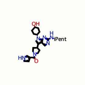 CCC[C@H](C)Nc1ncc2c(C3CCN(C(=O)c4cc[nH]c4)CC3)cn([C@H]3CC[C@H](O)CC3)c2n1